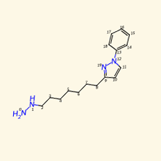 NNCCCCCCCc1ccn(-c2ccccc2)n1